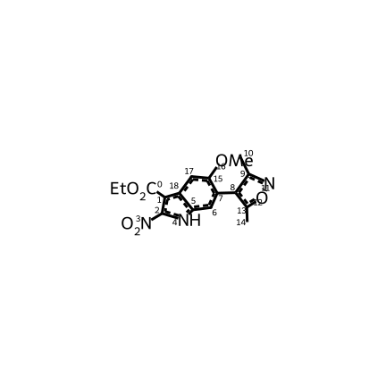 CCOC(=O)c1c([N+](=O)[O-])[nH]c2cc(-c3c(C)noc3C)c(OC)cc12